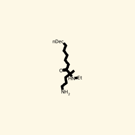 CCCCCCCCCCCCCCCC(=O)C(C)(CCCN)NCC